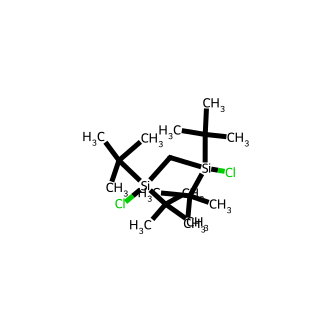 CC(C)(C)[Si](Cl)(C[Si](Cl)(C(C)(C)C)C(C)(C)C)C(C)(C)C